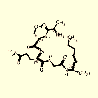 C[C@@H](N)C(=O)N[C@@H](CO)C(=O)N[C@@H](CCC(N)=O)C(=O)NCC(=O)N[C@@H](CCCCN)C(=O)O